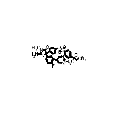 CCC(C)(C)c1ccc(S(=O)(=O)Oc2ccc(C3(c4ccc(F)c(-c5cncnc5)c4)N=C(N)N(C)C3=O)cc2)cc1